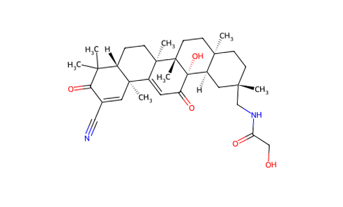 CC1(C)C(=O)C(C#N)=C[C@]2(C)C3=CC(=O)[C@]4(O)[C@@H]5C[C@@](C)(CNC(=O)CO)CC[C@]5(C)CC[C@@]4(C)[C@]3(C)CC[C@@H]12